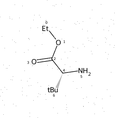 CCOC(=O)[C@H](N)C(C)(C)C